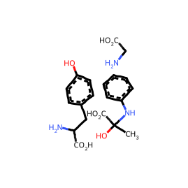 CC(O)(Nc1ccccc1)C(=O)O.NC(Cc1ccc(O)cc1)C(=O)O.NCC(=O)O